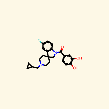 O=C(c1ccc(O)c(O)c1)N1CC2(CCN(CC3CC3)CC2)c2cc(F)ccc21